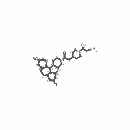 NCC(=O)N1CCC(CC(=O)N2CCC(C3c4ncc(Br)cc4CCc4cc(Cl)cc(Br)c43)CC2)CC1